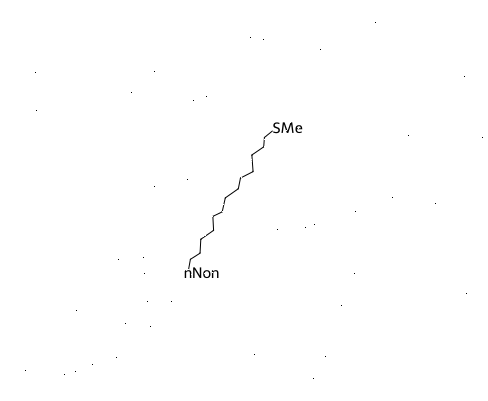 CCCCCCCCCCCCCCCCCCCCCCSC